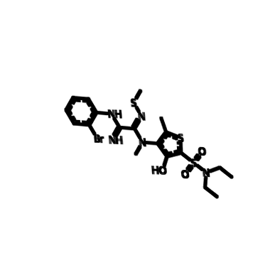 CCN(CC)S(=O)(=O)c1sc(C)c(N(C)/C(=N/SC)C(=N)Nc2ccccc2Br)c1O